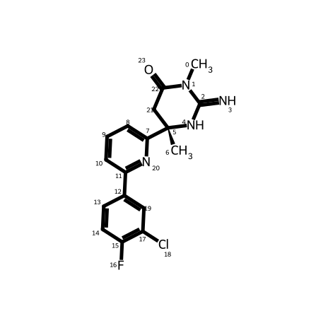 CN1C(=N)N[C@](C)(c2cccc(-c3ccc(F)c(Cl)c3)n2)CC1=O